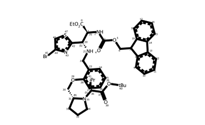 CCOC(=O)[C@@H](NC(=O)OCC1c2ccccc2-c2ccccc21)[C@H](NCc1ccccc1OC[C@H]1CCCN1[C@H](C(=O)OC(C)(C)C)C(C)C)c1nc(Br)cs1